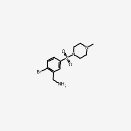 CN1CCN(S(=O)(=O)c2ccc(Br)c(CN)c2)CC1